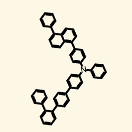 c1ccc(-c2ccccc2-c2ccc(-c3ccc(N(c4ccccc4)c4ccc(-c5cccc6c(-c7ccccc7)cccc56)cc4)cc3)cc2)cc1